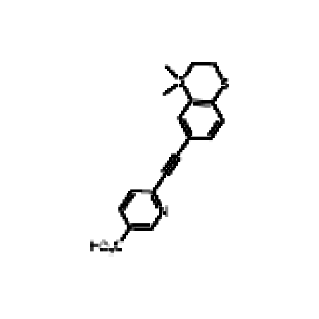 C[Si]1(C)CCSc2ccc(C#Cc3ccc(C(=O)O)cn3)cc21